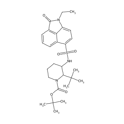 CCN1C(=O)c2cccc3c(S(=O)(=O)NC4CCCN(C(=O)OC(C)(C)C)C4C(C)(C)C)ccc1c23